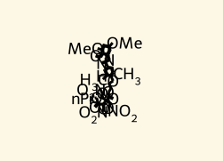 CCCOC(=O)C(O[N+](=O)[O-])C(CO[N+](=O)[O-])(CO[N+](=O)[O-])C(=O)OCCOc1c(C)cc(-c2nc3cc(OC)cc(OC)c3c(=O)[nH]2)cc1C